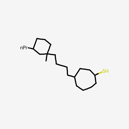 CCCC1CCCC(C)(CCCCC2CCCCC(S)CC2)C1